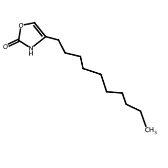 CCCCCCCCCCc1coc(=O)[nH]1